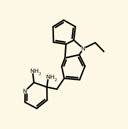 CCn1c2ccccc2c2cc(CC3(N)C=CC=NC3N)ccc21